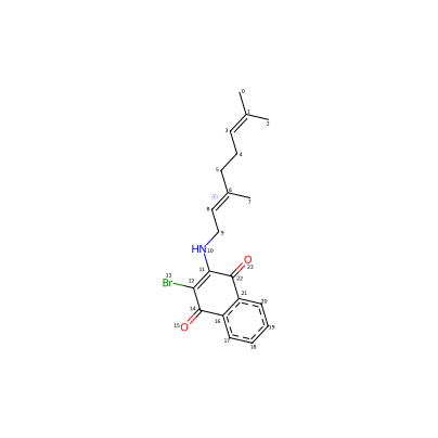 CC(C)=CCC/C(C)=C/CNC1=C(Br)C(=O)c2ccccc2C1=O